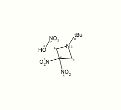 CC(C)(C)N1CC([N+](=O)[O-])([N+](=O)[O-])C1.O=[N+]([O-])O